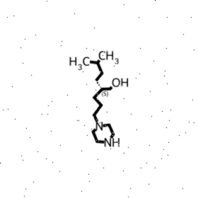 CC(C)CC[C@H](CO)CCCN1CCNCC1